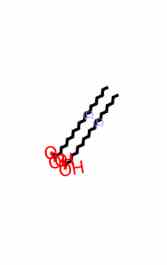 CCCCCC/C=C/CCCCCCCCCC(=O)O.CCCCCC/C=C/CCCCCCCCCC(=O)O